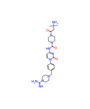 CC(C)(N)CC(=O)N1CCN(C(=O)Nc2ccn(-c3ccc(CN4CCN(C(=N)N)CC4)cc3)c(=O)n2)CC1